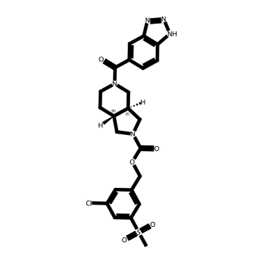 CS(=O)(=O)c1cc(Cl)cc(COC(=O)N2C[C@@H]3CN(C(=O)c4ccc5[nH]nnc5c4)CC[C@H]3C2)c1